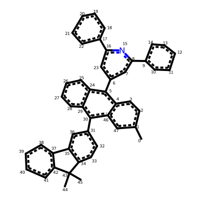 Cc1ccc2c(-c3cc(-c4ccccc4)nc(-c4ccccc4)c3)c3ccccc3c(-c3ccc4c(c3)-c3ccccc3C4(C)C)c2c1